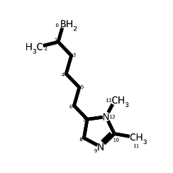 BC(C)CCCCC1CN=C(C)N1C